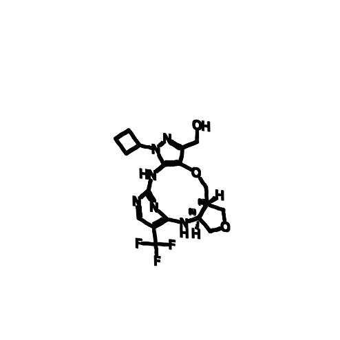 OCc1nn(C2CCC2)c2c1OC[C@@H]1COC[C@H]1Nc1nc(ncc1C(F)(F)F)N2